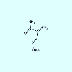 C=C(C=COC)C(N)=O